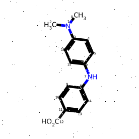 CN(C)c1ccc(Nc2ccc(C(=O)O)cc2)cc1